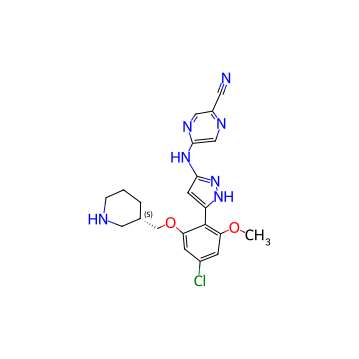 COc1cc(Cl)cc(OC[C@H]2CCCNC2)c1-c1cc(Nc2cnc(C#N)cn2)n[nH]1